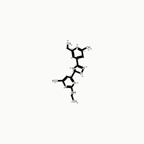 CCNc1nc(C)cc(-c2nc(-c3cc(C)nc(CC)c3)no2)n1